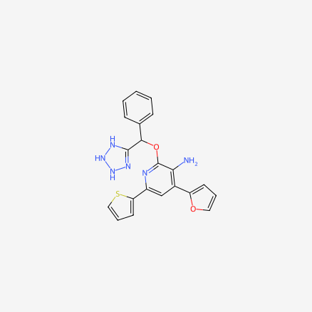 Nc1c(-c2ccco2)cc(-c2cccs2)nc1OC(C1=NNNN1)c1ccccc1